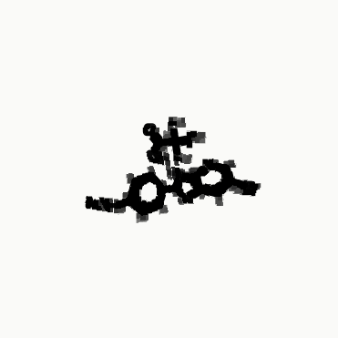 CC(=O)Nc1ccc(-c2nc3cc(Br)cnc3[nH]2)cc1.O=C(O)C(F)(F)F